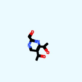 CC(=O)c1cnc(C=O)nc1C(C)=O